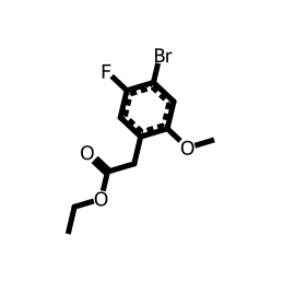 CCOC(=O)Cc1cc(F)c(Br)cc1OC